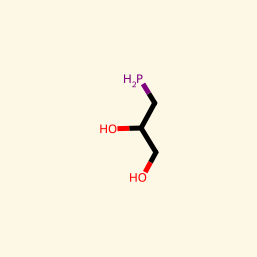 OCC(O)CP